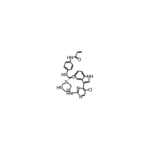 C=CC(=O)Nc1ccc(NC(=O)[C@H]2CNC[C@H](Nc3ncc(Cl)c(-c4c[nH]c5ccccc45)n3)C2)cc1